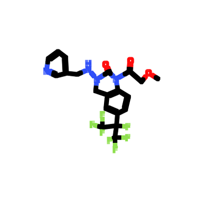 COCC(=O)N1C(=O)N(NCc2cccnc2)Cc2cc(C(F)(C(F)(F)F)C(F)(F)F)ccc21